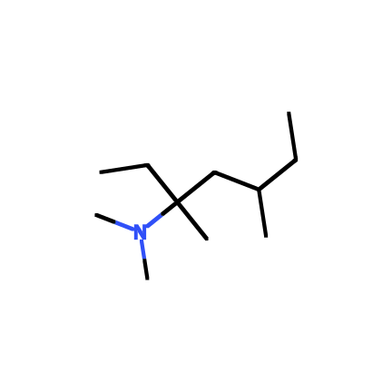 CCC(C)CC(C)(CC)N(C)C